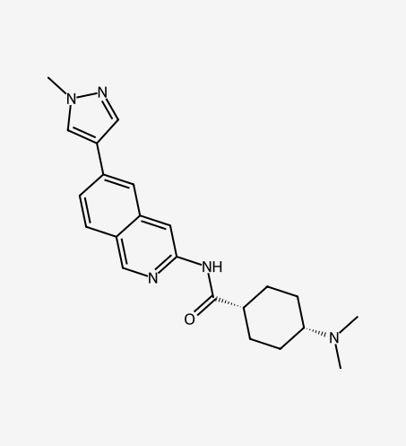 Cn1cc(-c2ccc3cnc(NC(=O)[C@H]4CC[C@@H](N(C)C)CC4)cc3c2)cn1